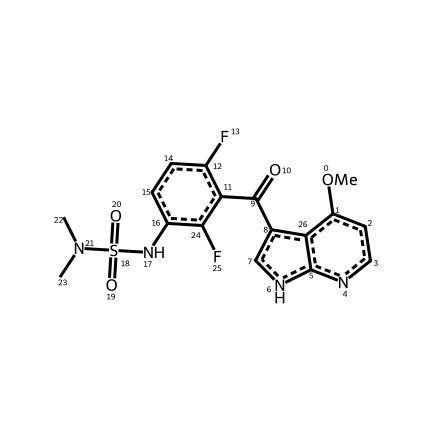 COc1ccnc2[nH]cc(C(=O)c3c(F)ccc(NS(=O)(=O)N(C)C)c3F)c12